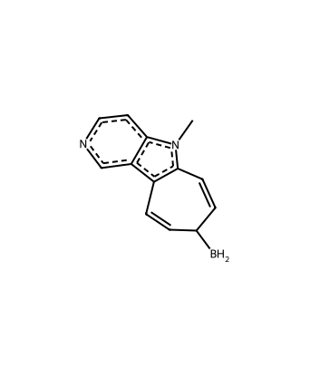 BC1C=Cc2c(n(C)c3ccncc23)C=C1